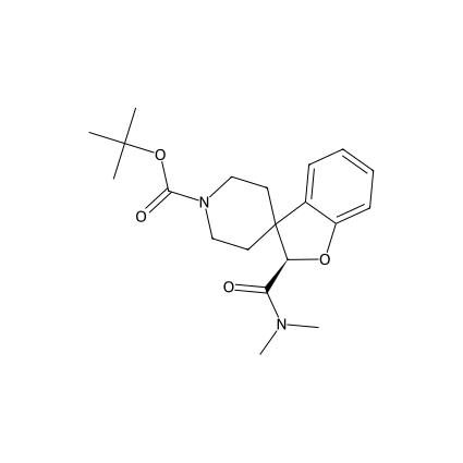 CN(C)C(=O)[C@@H]1Oc2ccccc2C12CCN(C(=O)OC(C)(C)C)CC2